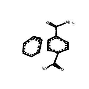 NC(=O)c1ccc(C(=O)O)cc1.c1ccccc1